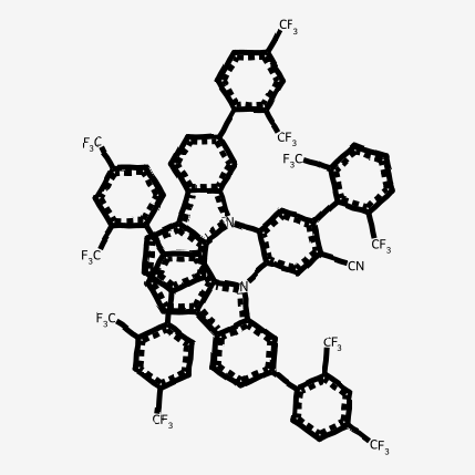 N#Cc1cc(-n2c3cc(-c4ccc(C(F)(F)F)cc4C(F)(F)F)ccc3c3ccc(-c4ccc(C(F)(F)F)cc4C(F)(F)F)cc32)c(-n2c3cc(-c4ccc(C(F)(F)F)cc4C(F)(F)F)ccc3c3ccc(-c4ccc(C(F)(F)F)cc4C(F)(F)F)cc32)cc1-c1c(C(F)(F)F)cccc1C(F)(F)F